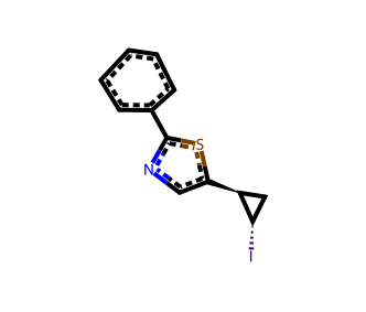 I[C@H]1C[C@@H]1c1cnc(-c2ccccc2)s1